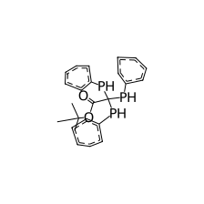 CC(C)(C)OC(=O)C(Pc1ccccc1)(Pc1ccccc1)Pc1ccccc1